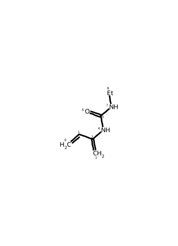 C=CC(=C)NC(=O)NCC